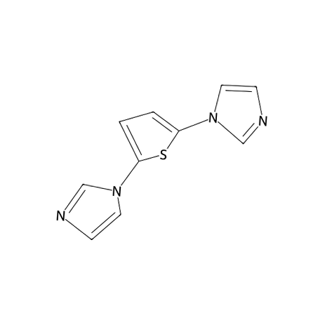 c1cn(-c2ccc(-n3ccnc3)s2)cn1